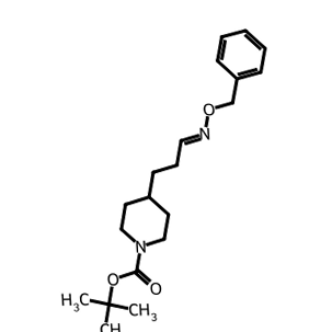 CC(C)(C)OC(=O)N1CCC(CCC=NOCc2ccccc2)CC1